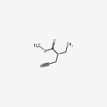 CCC(CC#N)C(=O)OC